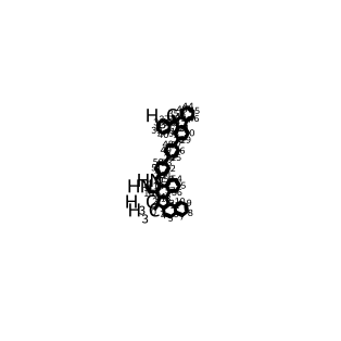 CC1(C)c2ccc3ccccc3c2-c2c1c(C=N)c(Nc1ccc(-c3ccc(-c4ccc5c(c4)C(C)(c4ccccc4)c4ccccc4-5)cc3)cc1)c1ccccc21